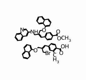 COC(=O)c1ccc(C=C(CNc2cnc3ccccc3c2)COc2cccc3ccccc23)cc1.Cc1cc(C=C(CBr)COc2cccc3ccccc23)ccc1C(=O)O